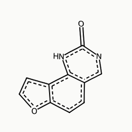 O=c1ncc2ccc3occc3c2[nH]1